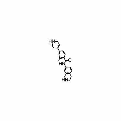 Cc1cc(C2=CCNCC2)ccc1C(=O)Nc1ccc2c(c1)CNCC2